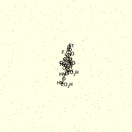 CCOc1ccc(C(=O)N2CCN(c3ccc(-c4cccnc4OCC)nc3CN(CCCNC(=O)C(CC(=O)NCCOCCNC(=O)O)NC(=O)O)S(=O)(=O)c3ccccc3[N+](=O)[O-])[C@H](CC)C2)c(C(F)(F)F)n1